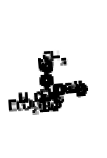 CCOC(=O)C(C)(C)Cc1c(SC(C)(C)C)c2cc(OCc3ccccn3)ccc2n1Cc1ccc(-c2ccc(C)nc2)cc1